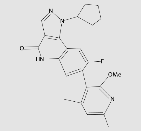 COc1nc(C)cc(C)c1-c1cc2[nH]c(=O)c3cnn(C4CCCC4)c3c2cc1F